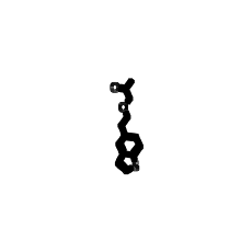 CC(=O)COCCc1ccc2sccc2c1